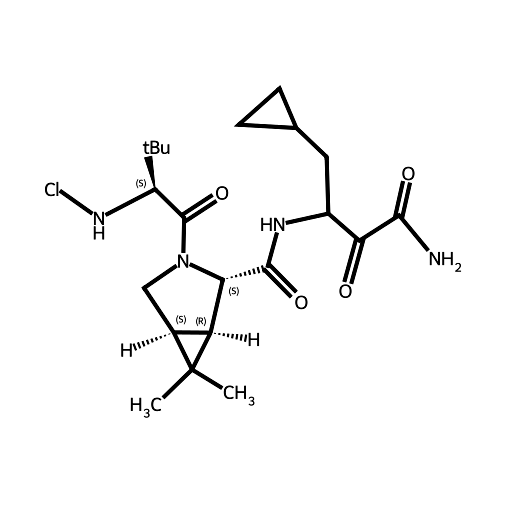 CC(C)(C)[C@H](NCl)C(=O)N1C[C@H]2[C@@H]([C@H]1C(=O)NC(CC1CC1)C(=O)C(N)=O)C2(C)C